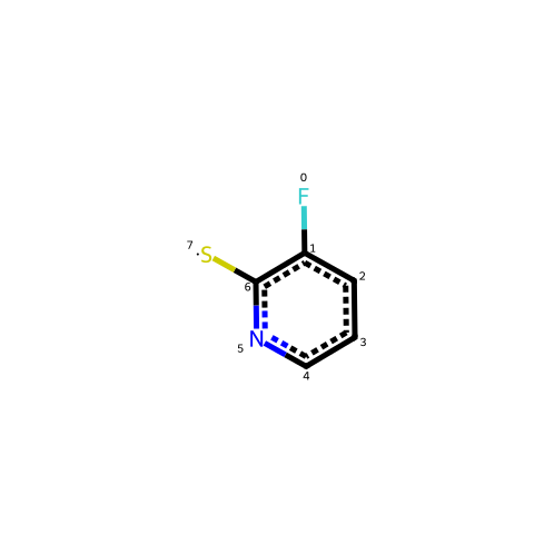 Fc1cccnc1[S]